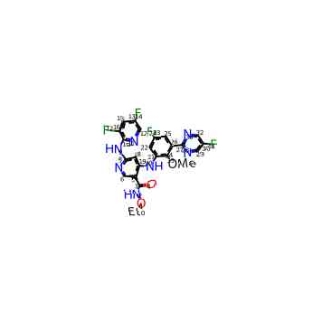 CCONC(=O)c1cnc(Nc2ncc(F)cc2F)cc1Nc1cc(F)cc(-c2ncc(F)cn2)c1OC